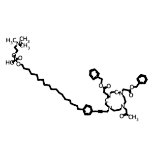 CC(=O)CN1CCN(CC#Cc2ccc(CCCCCCCCCCCCCCCCCCOP(=O)(O)OCC[N+](C)(C)C)cc2)CCN(CC(=O)OCc2ccccc2)CCN(CC(=O)OCc2ccccc2)CC1